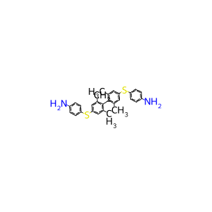 Cc1cc(Sc2ccc(N)cc2)cc(C)c1-c1c(C)cc(Sc2ccc(N)cc2)cc1C